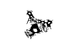 Cc1ccccc1-c1cc2cnc(NN3CC4CCCC4C3)nc2n(Cc2cccc(CC(F)(F)F)c2)c1=O